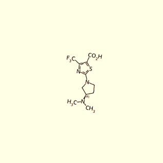 CN(C)[C@@H]1CCN(c2nc(C(F)(F)F)c(C(=O)O)s2)C1